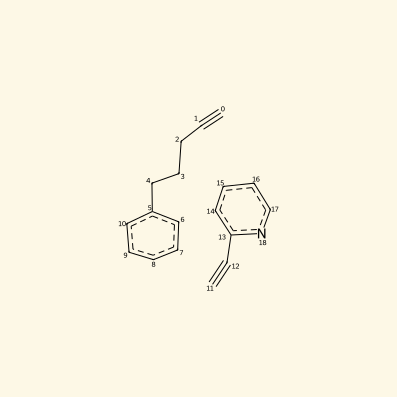 C#CCCCc1ccccc1.C#Cc1ccccn1